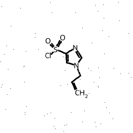 C=CCn1cnc(S(=O)(=O)Cl)c1